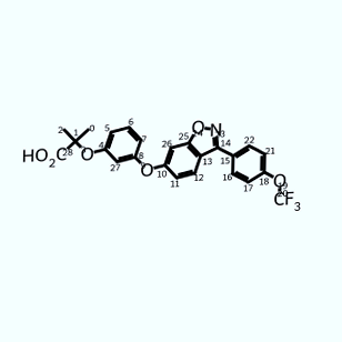 CC(C)(Oc1cccc(Oc2ccc3c(-c4ccc(OC(F)(F)F)cc4)noc3c2)c1)C(=O)O